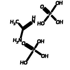 CC(=N)N.O=P(O)(O)O.O=P(O)(O)O